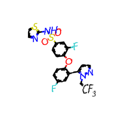 O=S(=O)(Nc1nccs1)c1ccc(Oc2ccc(F)cc2-c2ccnn2CC(F)(F)F)c(F)c1